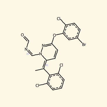 C/C(=C1/C=CC(Oc2cc(Br)ccc2Cl)=NN1/C=N\C=O)c1c(Cl)cccc1Cl